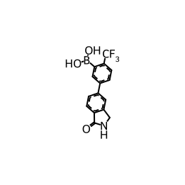 O=C1NCc2cc(-c3ccc(C(F)(F)F)c(B(O)O)c3)ccc21